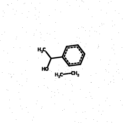 CC.CC(O)c1ccccc1